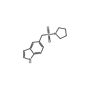 O=S(=O)(Cc1ccc2[nH]ccc2c1)N1CCCC1